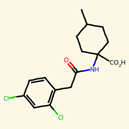 CC1CCC(NC(=O)Cc2ccc(Cl)cc2Cl)(C(=O)O)CC1